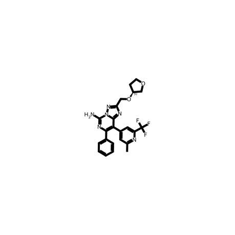 Cc1cc(-c2c(-c3ccccc3)nc(N)n3nc(CO[C@H]4CCOC4)nc23)cc(C(F)(F)F)n1